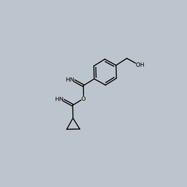 N=C(OC(=N)C1CC1)c1ccc(CO)cc1